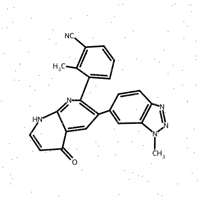 Cc1c(C#N)cccc1-c1nc2[nH]ccc(=O)c2cc1-c1ccc2nnn(C)c2c1